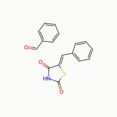 O=C1NC(=O)/C(=C/c2ccccc2)S1.O=Cc1ccccc1